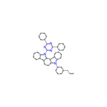 C=CCc1cccc(-n2c3ccccc3c3c2ccc2c4ccccc4n(-c4nc(-c5ccccc5)nc(-c5ccccc5)n4)c23)c1